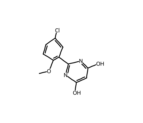 COc1ccc(Cl)cc1-c1nc(O)cc(O)n1